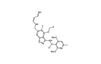 COc1cc(C)nc(OC)c1[S+]([O-])Nc1noc2cc(CN/C=C\C=N)c(F)c(OCF)c12